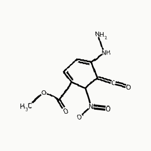 COC(=O)C1=CC=C(NN)C(=C=O)C1[N+](=O)[O-]